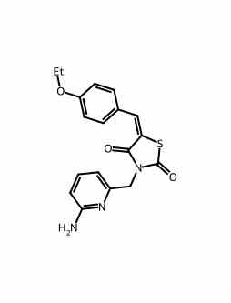 CCOc1ccc(C=C2SC(=O)N(Cc3cccc(N)n3)C2=O)cc1